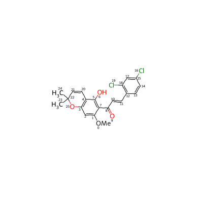 COc1cc2c(c(O)c1C(=O)/C=C/c1ccc(Cl)cc1Cl)C=CC(C)(C)O2